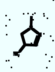 CN1CC(C#N)[C]=N1